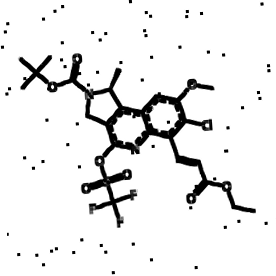 CCOC(=O)/C=C/c1c(Cl)c(OC)cc2c3c(c(OS(=O)(=O)C(F)(F)F)nc12)CN(C(=O)OC(C)(C)C)[C@H]3C